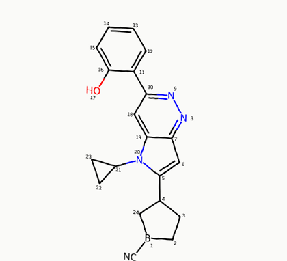 N#CB1CCC(c2cc3nnc(-c4ccccc4O)cc3n2C2CC2)C1